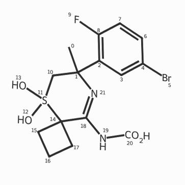 CC1(c2cc(Br)ccc2F)CS(O)(O)C2(CCC2)C(NC(=O)O)=N1